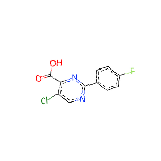 O=C(O)c1nc(-c2ccc(F)cc2)ncc1Cl